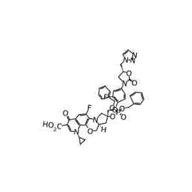 O=C(O)c1cn(C2CC2)c2c3c(c(F)cc2c1=O)N1C[C@](COc2ccc(N4C[C@@H](Cn5ccnn5)OC4=O)cc2F)(OP(=O)(OCc2ccccc2)OCc2ccccc2)C[C@H]1CO3